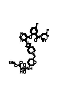 CC(C)N(CC(F)F)C(=O)c1cc(F)ccc1Oc1cncnc1N1CC2(CCN(C[C@@H]3CC[C@@H](NS(=O)(=O)NC(=O)OC(C)(C)C)CO3)CC2)C1